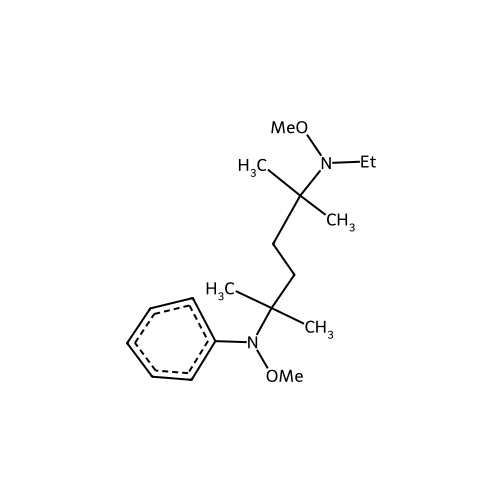 CCN(OC)C(C)(C)CCC(C)(C)N(OC)c1ccccc1